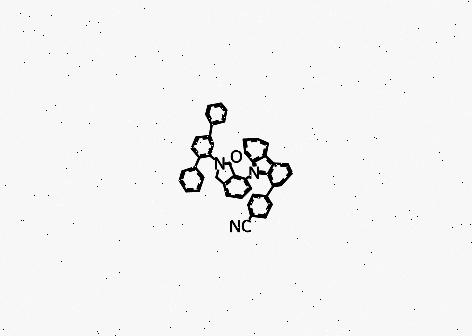 N#Cc1ccc(-c2cccc3c4ccccc4n(-c4cccc5c4C(=O)N(c4cc(-c6ccccc6)ccc4-c4ccccc4)C5)c23)cc1